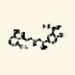 Cc1cccc(C)c1NCCNCC(O)c1ccc(O)c([S+](C)[O-])c1